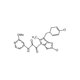 COc1cc(NC(=O)C(=O)c2c(C)n(CC3C=CC(Cl)=CC3)c3sc(Cl)cc23)ccn1